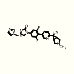 CN1CC2C(C1)C2(C#N)c1ccc(-c2c(F)cc(N3C[C@H](Cn4ccnn4)OC3=O)cc2F)cn1